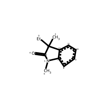 CCC1(C)C(=O)N(C)c2ccccc21